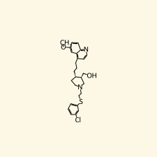 COc1ccc2nccc(CCC[C@@H]3CCN(CCSc4cccc(Cl)c4)C[C@@H]3CO)c2c1